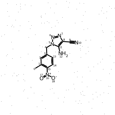 Cc1cc(Cn2nnc(C#N)c2N)ccc1[N+](=O)[O-]